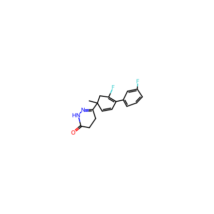 CC1(C2=NNC(=O)CC2)C=CC(c2cccc(F)c2)=C(F)C1